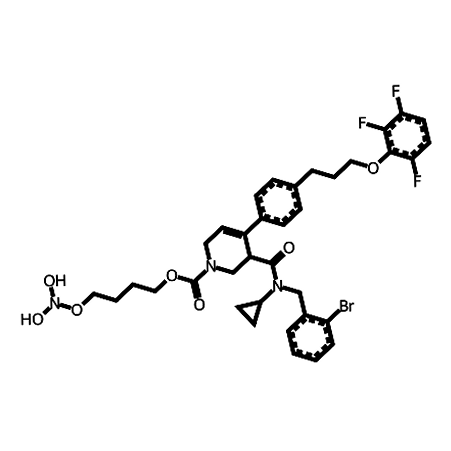 O=C(OCCCCON(O)O)N1CC=C(c2ccc(CCCOc3c(F)ccc(F)c3F)cc2)C(C(=O)N(Cc2ccccc2Br)C2CC2)C1